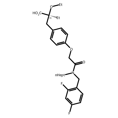 CCCCCCCN(Cc1ccc(F)cc1F)C(=O)COc1ccc(C[C@](CC)(OCC)C(=O)O)cc1